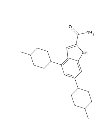 CC1CCC(c2cc(C3CCC(C)CC3)c3cc(C(N)=O)[nH]c3c2)CC1